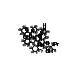 C=C[C@@H](C[C@H](O)[C@H](CC1CCCCC1)NC(=O)[C@H](Cc1c[nH]cn1)NC(=O)[C@H](Cc1ccccc1)NC(=O)[C@H]1CCCN1C(=O)c1ncccc1O)C(C)C